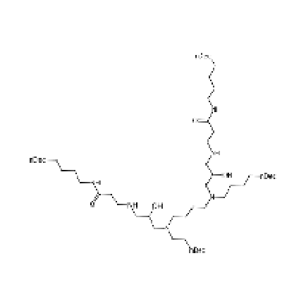 CCCCCCCCCCCCCCNC(=O)CCNCC(O)CN(CCCCCCCCCCCC)CCCCN(CCCCCCCCCCCCCC)CC(O)CNCCC(=O)NCCCCCCCCCCCCCC